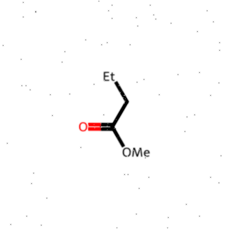 [CH2]CCC(=O)OC